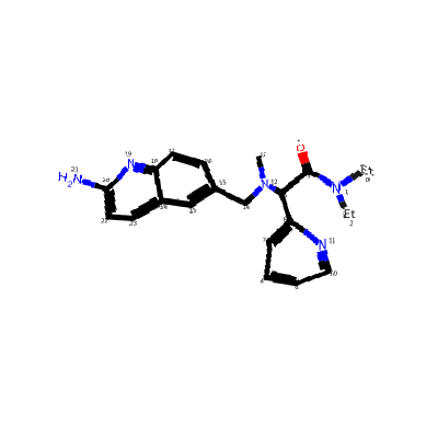 CCN(CC)C(=O)C(c1ccccn1)N(C)Cc1ccc2nc(N)ccc2c1